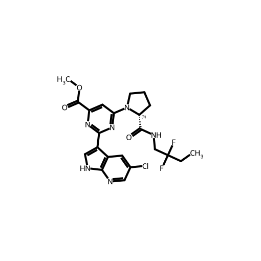 CCC(F)(F)CNC(=O)[C@H]1CCCN1c1cc(C(=O)OC)nc(-c2c[nH]c3ncc(Cl)cc23)n1